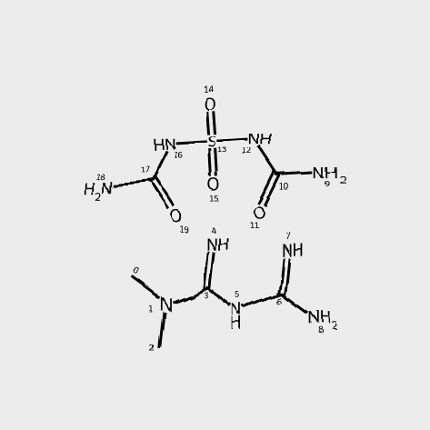 CN(C)C(=N)NC(=N)N.NC(=O)NS(=O)(=O)NC(N)=O